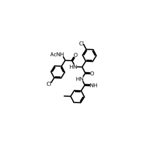 CC(=O)NC(C(=O)NC(C(=O)NC(=N)C1=CC(C)CC=C1)c1cccc(Cl)c1)c1ccc(Cl)cc1